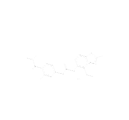 CO[C@@H](C)c1c(NC(=O)Nc2cnc(C(=O)N(C)C)c(Cl)c2)cnc2cc(Cl)nn12